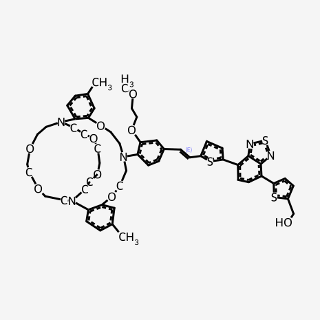 COCCOc1cc(/C=C/c2ccc(-c3ccc(-c4ccc(CO)s4)c4nsnc34)s2)ccc1N1CCOc2cc(C)ccc2N2CCOCCOCCN(CCOCCOCC2)c2ccc(C)cc2OCC1